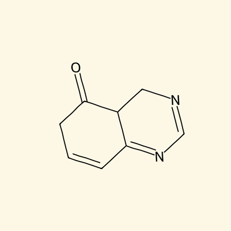 O=C1CC=CC2=NC=NCC12